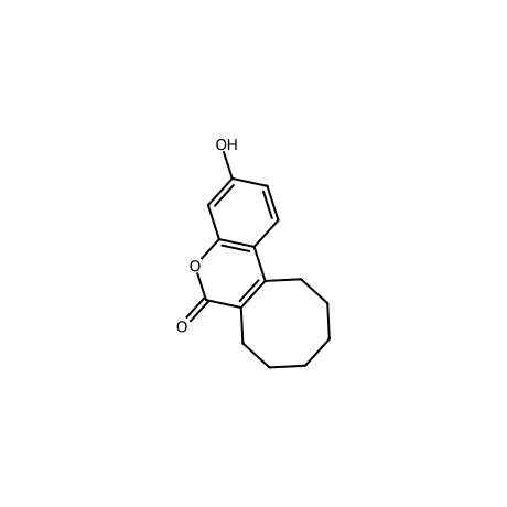 O=c1oc2cc(O)ccc2c2c1CCCCCC2